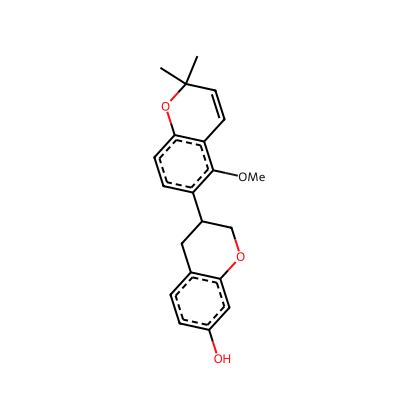 COc1c(C2COc3cc(O)ccc3C2)ccc2c1C=CC(C)(C)O2